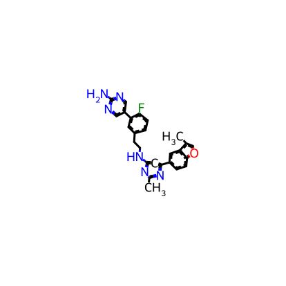 Cc1nc(NCCc2ccc(F)c(-c3cnc(N)nc3)c2)cc(-c2ccc3occ(C)c3c2)n1